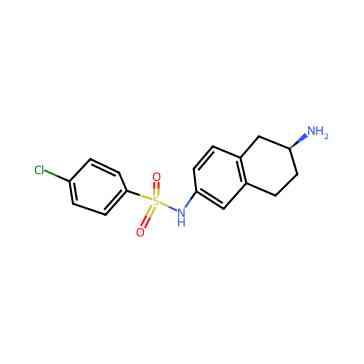 N[C@H]1CCc2cc(NS(=O)(=O)c3ccc(Cl)cc3)ccc2C1